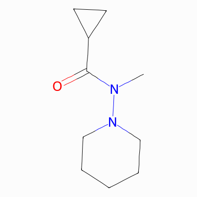 CN(C(=O)C1CC1)N1CCCCC1